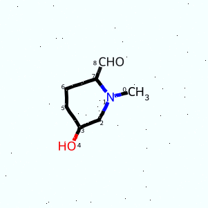 CN1CC(O)CCC1C=O